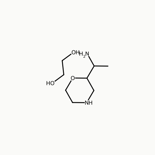 CC(N)C1CNCCO1.OCCO